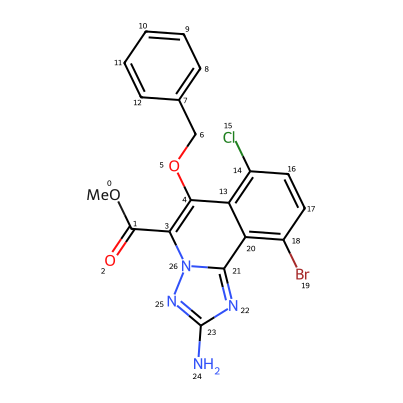 COC(=O)c1c(OCc2ccccc2)c2c(Cl)ccc(Br)c2c2nc(N)nn12